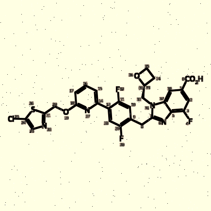 O=C(O)c1cc(F)c2nc(Cc3cc(F)c(-c4cccc(OCc5ncc(Cl)s5)n4)cc3F)n(C[C@@H]3CCO3)c2c1